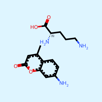 Cc1cc(=O)oc2cc(N)ccc12.NCCC[C@H](N)C(=O)O